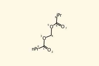 CCCC(=O)OCOC(=O)C(C)C